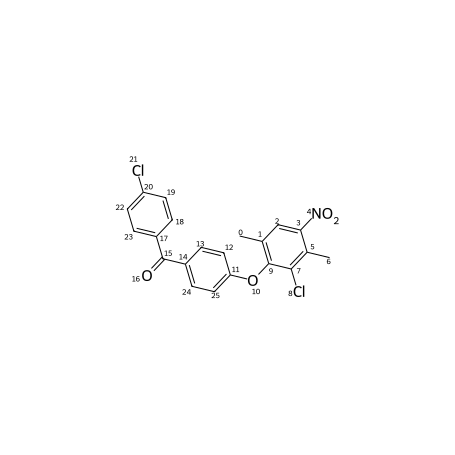 Cc1cc([N+](=O)[O-])c(C)c(Cl)c1Oc1ccc(C(=O)c2ccc(Cl)cc2)cc1